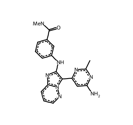 CNC(=O)c1cccc(Nc2nc3cccnn3c2-c2cc(N)nc(C)n2)c1